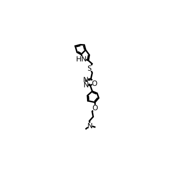 CN(C)CCCOc1ccc(-c2nnc(CSCc3cc4ccccc4[nH]3)o2)cc1